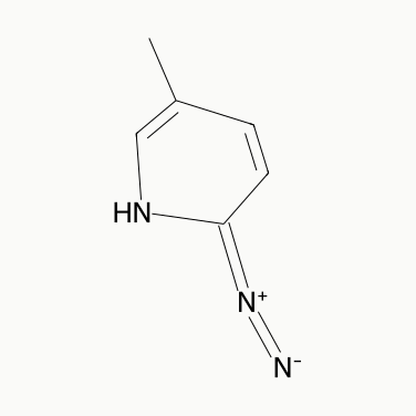 Cc1ccc(=[N+]=[N-])[nH]c1